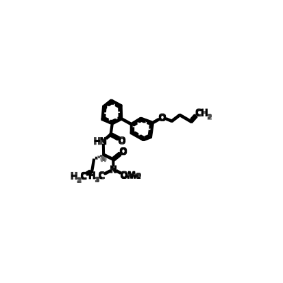 C=CCCOc1cccc(-c2ccccc2C(=O)N[C@@H](CC=C)C(=O)N(C)OC)c1